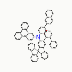 c1ccc(-c2ccccc2-c2cc3c(cc2N(c2ccc(-c4ccc5ccccc5c4)cc2)c2ccc4c5ccccc5c5ccccc5c4c2)C2(c4ccccc4-c4ccccc42)c2ccccc2-3)cc1